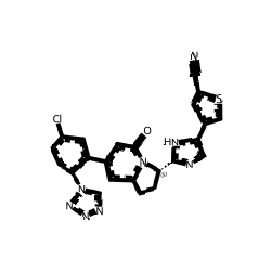 N#Cc1cc(-c2cnc([C@@H]3CCc4cc(-c5cc(Cl)ccc5-n5cnnn5)cc(=O)n43)[nH]2)cs1